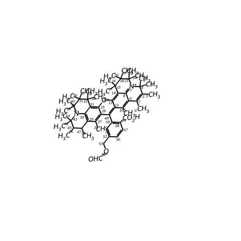 CC1=C(C)C(C)(C)[N+]2=c3c1c(C)c1c(c3C(C)(C)C(C)(C)C2(C)C)Oc2c(c(C)c3c4c2C(C)(C)C(C)(C)C(C)(C)N4C(C)(C)C(C)C3C)C=1c1cc(COC=O)ccc1C(=O)O